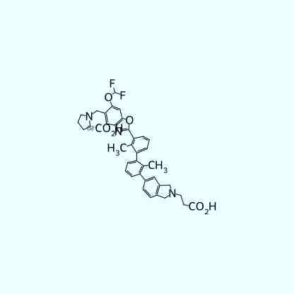 Cc1c(-c2ccc3c(c2)CN(CCC(=O)O)C3)cccc1-c1cccc(-c2nc3cc(CN4CCC[C@H]4C(=O)O)c(OC(F)F)cc3o2)c1C